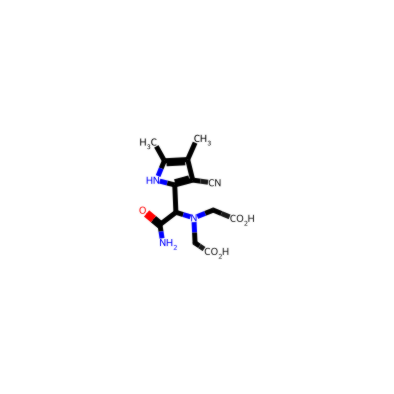 Cc1[nH]c(C(C(N)=O)N(CC(=O)O)CC(=O)O)c(C#N)c1C